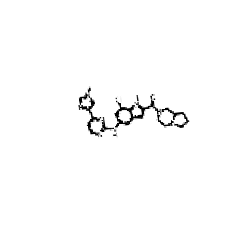 Cn1cnc(-c2ccnc(Nc3cc(Cl)c4[nH]c(C(=O)N5CCN6CCCC6C5)cc4c3)n2)c1